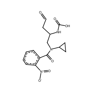 O=CCC(CN(C(=O)c1ccccc1[N+](=O)[O-])C1CC1)NC(=O)O